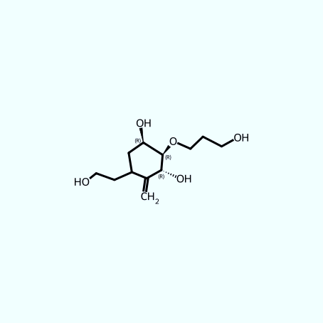 C=C1C(CCO)C[C@@H](O)[C@@H](OCCCO)[C@@H]1O